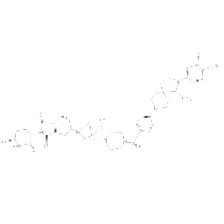 CCOC1(CN2CCN(C(=O)c3ccc(N4CCC5(CC4)CCN(c4ccc(C#N)c(Cl)c4)C5C)cc3)CC2)CN(c2ccc3c(c2)C(=O)N(C2CCC(=O)NC2=O)C3=O)C1